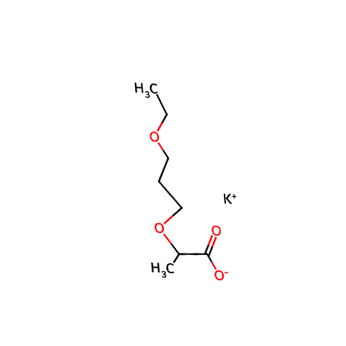 CCOCCCOC(C)C(=O)[O-].[K+]